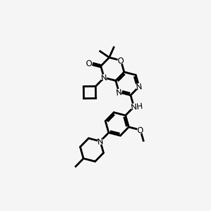 COc1cc(N2CCC(C)CC2)ccc1Nc1ncc2c(n1)N(C1CCC1)C(=O)C(C)(C)O2